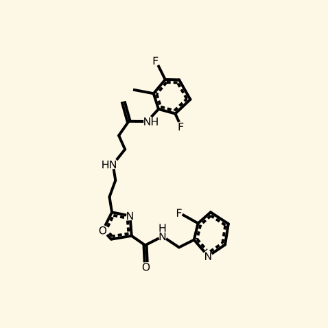 C=C(CCNCCc1nc(C(=O)NCc2ncccc2F)co1)Nc1c(F)ccc(F)c1C